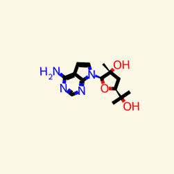 CC(C)(O)[C@@H]1C[C@@](C)(O)[C@H](n2ccc3c(N)ncnc32)O1